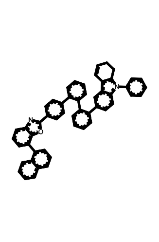 C1=Cc2c(n(-c3ccccc3)c3ccc(-c4ccccc4-c4ccccc4-c4ccc(-c5nc6cccc(-c7cccc8ccccc78)c6o5)cc4)cc23)CC1